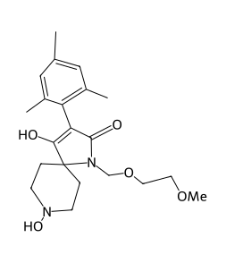 COCCOCN1C(=O)C(c2c(C)cc(C)cc2C)=C(O)C12CCN(O)CC2